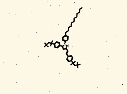 CCCCCCCCCCCCc1ccc(N2N=C(C=Cc3ccc(C(C)(C)CC(C)(C)C)cc3)CC2c2ccc(C(C)(C)CC(C)(C)C)cc2)cc1